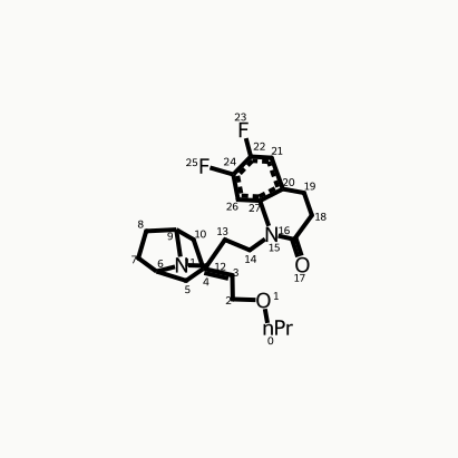 CCCOCC=C1CC2CCC(C1)N2CCCN1C(=O)CCc2cc(F)c(F)cc21